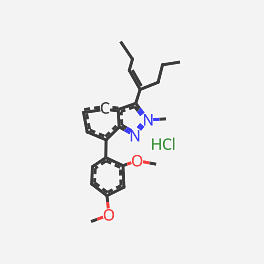 CCC=C(CCC)c1c2cccc(-c3ccc(OC)cc3OC)c2nn1C.Cl